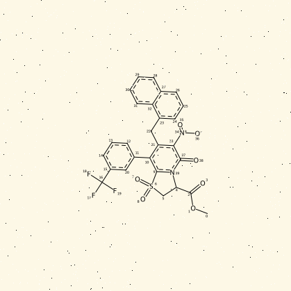 COC(=O)C1CS(=O)(=O)c2c(-c3cccc(C(F)(F)F)c3)c(Cc3cccc4ccccc34)c([N+](=O)[O-])c(=O)n21